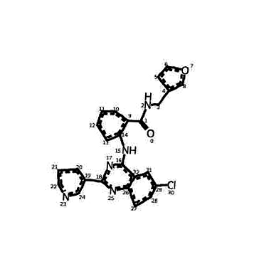 O=C(NCc1ccoc1)c1ccccc1Nc1nc(-c2cccnc2)nc2ccc(Cl)cc12